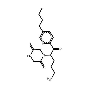 CCCCc1ccc(C(=O)C(CCCN)N2CC(=O)NCC2=O)nc1